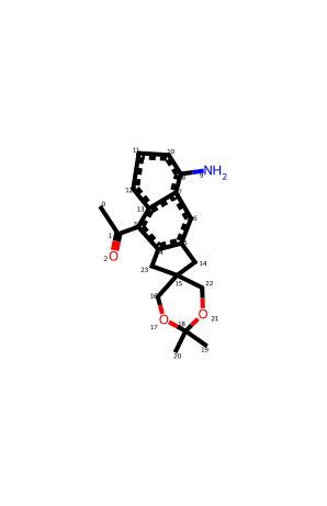 CC(=O)c1c2c(cc3c(N)cccc13)CC1(COC(C)(C)OC1)C2